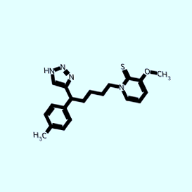 COc1cccn(CCCCC(c2ccc(C)cc2)c2c[nH]nn2)c1=S